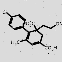 COCCC1(C(=O)O)CC(C(=O)O)=CC(C)=C1c1ccc(Cl)cc1